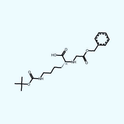 CC(C)(C)OC(=O)NCCCC[C@@H](NCC(=O)OCc1ccccc1)C(=O)O